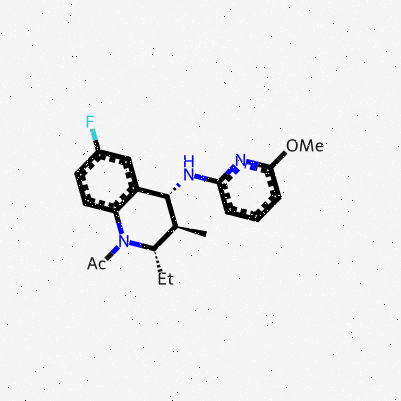 CC[C@H]1[C@H](C)[C@@H](Nc2cccc(OC)n2)c2cc(F)ccc2N1C(C)=O